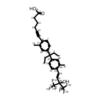 CCC(CC)(c1ccc(C#CCCCC(=O)O)c(C)c1)c1ccc(C=CC(O)(C(F)(F)F)C(F)(F)F)c(C)c1